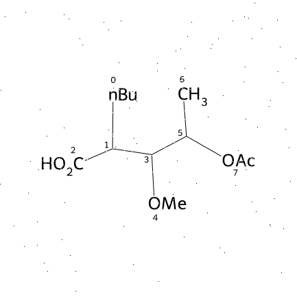 CCCCC(C(=O)O)C(OC)C(C)OC(C)=O